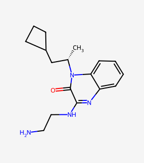 C[C@@H](CC1CCC1)n1c(=O)c(NCCN)nc2ccccc21